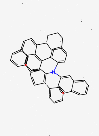 c1ccc(-c2ccc(-c3ccccc3)c(N(c3ccc4ccccc4c3)c3ccccc3-c3cccc4cccc(C5CCCCC5)c34)c2)cc1